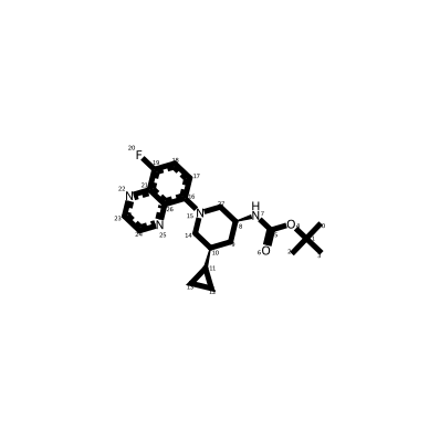 CC(C)(C)OC(=O)N[C@H]1C[C@@H](C2CC2)CN(c2ccc(F)c3nccnc23)C1